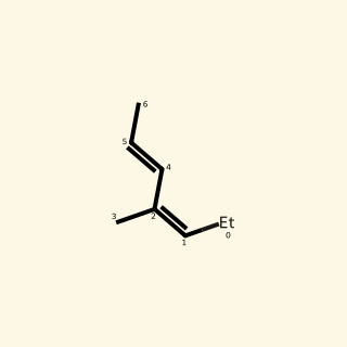 [CH2]CC=C(C)C=CC